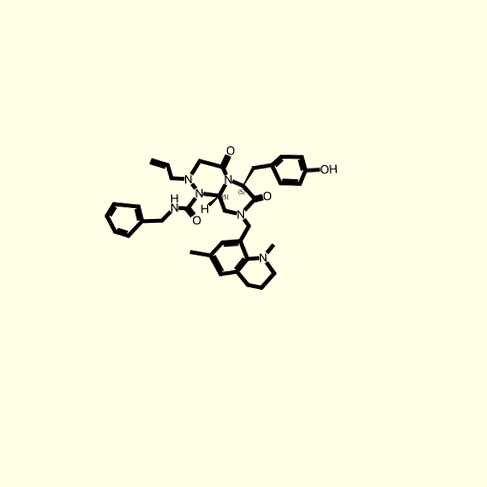 C=CCN1CC(=O)N2[C@@H](Cc3ccc(O)cc3)C(=O)N(Cc3cc(C)cc4c3N(C)CCC4)C[C@@H]2N1C(=O)NCc1ccccc1